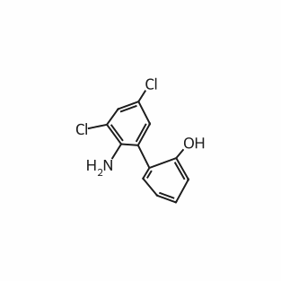 Nc1c(Cl)cc(Cl)cc1-c1ccccc1O